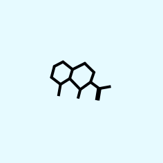 C=C(C)C1CCC2CCCC(C)C2C1C